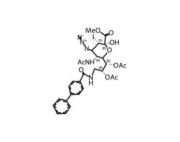 COC(=O)[C@@]1(O)OC([C@H](OC(C)=O)[C@@H](CNC(=O)c2ccc(-c3ccccc3)cc2)OC(C)=O)[C@H](NC(C)=O)C(N=[N+]=[N-])[C@@H]1I